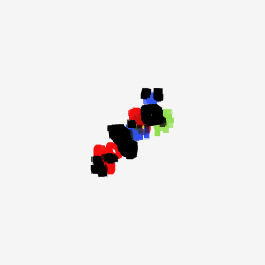 CCN(CC)c1cc(C(F)(F)F)cc(S(=O)(=O)CN[C@@H]2CCCc3c(OCC(=O)OC(C)(C)C)cccc32)c1